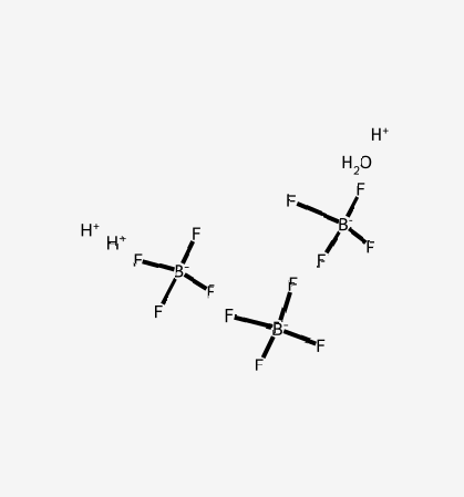 F[B-](F)(F)F.F[B-](F)(F)F.F[B-](F)(F)F.O.[H+].[H+].[H+]